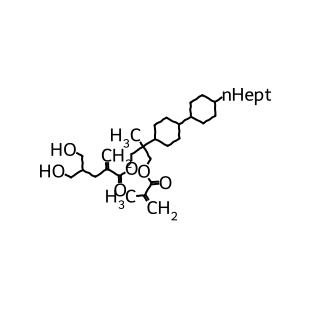 C=C(C)C(=O)OCC(C)(COC(=O)C(=C)CC(CO)CO)C1CCC(C2CCC(CCCCCCC)CC2)CC1